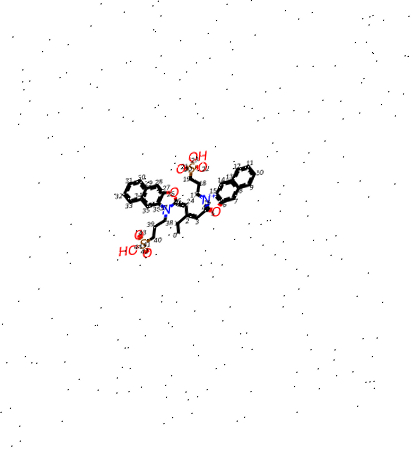 CCC(=Cc1oc2cc3ccccc3cc2[n+]1CCCS(=O)(=O)O)C=C1Oc2cc3ccccc3cc2N1CCCS(=O)(=O)O